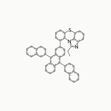 CCc1nc2cccc3c2n1-c1c(cccc1-c1ccc2c(-c4ccc5ccccc5c4)c4ccccc4c(-c4ccc5ccccc5c4)c2c1)S3